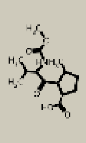 COC(=O)NC(C(=O)C1[C@@H](C)CC[C@H]1C(=O)O)C(C)C